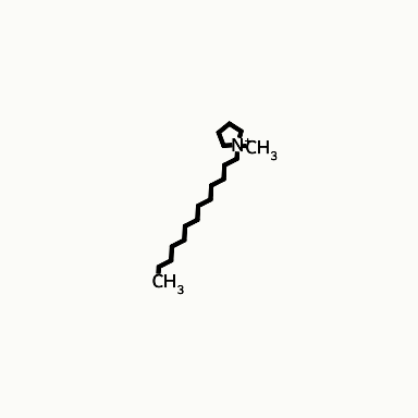 CCCCCCCCCCCCC[N+]1(C)CCCC1